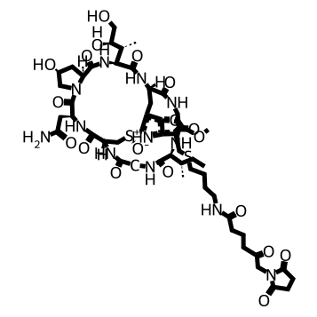 CC[C@H](C)[C@@H]1NC(=O)CNC(=O)[C@@H]2Cc3c([nH]c4c(CSCCCCNC(=O)CCCC(=O)CN5C(=O)CCC5=O)c(OC)ccc34)[S+]([O-])C[C@H](NC(=O)CNC1=O)C(=O)N[C@@H](CC(N)=O)C(=O)N1C[C@H](O)C[C@H]1C(=O)N[C@@H]([C@@H](C)[C@@H](O)CO)C(=O)N2